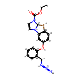 CCOC(=O)N1C=CN2c3cc(Oc4ccccc4CN=[N+]=[N-])ccc3SC12